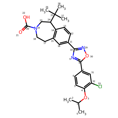 CC(C)Oc1ccc(-c2nc(-c3ccc4c(c3)CCN(C(=O)O)CC4C(C)(C)C)no2)cc1Cl